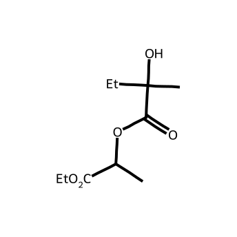 CCOC(=O)C(C)OC(=O)C(C)(O)CC